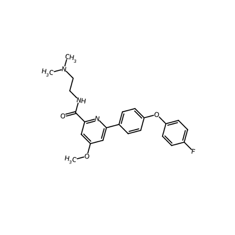 COc1cc(C(=O)NCCN(C)C)nc(-c2ccc(Oc3ccc(F)cc3)cc2)c1